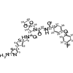 Nc1ncc(-c2csc(CNC(=O)[C@@H]3CC4(CN3C(=O)CNC(=O)c3ccc(Oc5ccc(F)cc5)cc3)OCCO4)c2)s1